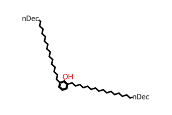 CCCCCCCCCCCCCCCCCCCCCCCCCCc1cccc(CCCCCCCCCCCCCCCCCCCCCCCCCC)c1O